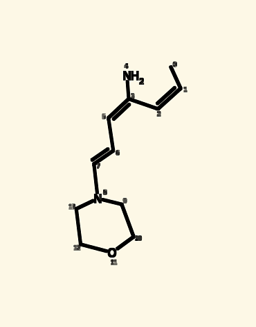 C\C=C/C(N)=C\C=C\N1CCOCC1